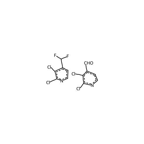 FC(F)c1ccnc(Cl)c1Cl.O=Cc1ccnc(Cl)c1Cl